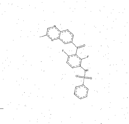 Cc1cnc2ccc(C(=O)c3c(F)ccc(NS(=O)(=O)c4ccccc4)c3F)cc2n1